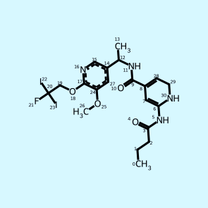 CCCC(=O)NC1=CC(C(=O)NC(C)c2cnc(OCC(F)(I)I)c(OC)c2)=CCN1